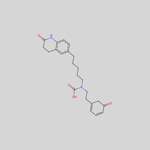 O=C1C=CC=C(CCN(CCCCCc2ccc3c(c2)CCC(=O)N3)C(=O)O)C1